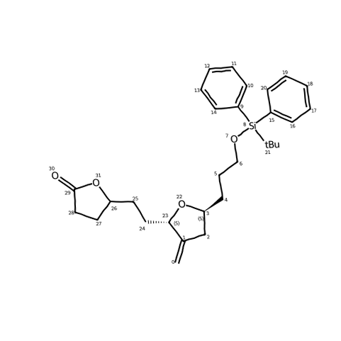 C=C1C[C@H](CCCO[Si](c2ccccc2)(c2ccccc2)C(C)(C)C)O[C@H]1CCC1CCC(=O)O1